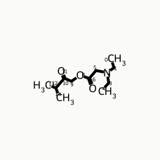 CCN(CC)CC(=O)OCC(=O)C(C)C